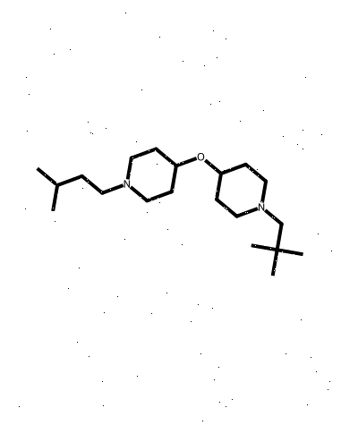 CC(C)CCN1CCC(OC2CCN(CC(C)(C)C)CC2)CC1